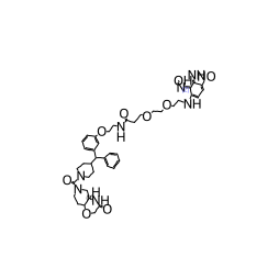 N=C1C(N=O)=CC=C(NCCOCCOCCC(=O)NCCOc2cccc(C(c3ccccc3)C3CCN(C(=O)N4CCC5OCC(=O)N[C@@H]5C4)CC3)c2)/C1=N/O